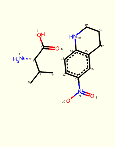 CC(C)[C@H](N)C(=O)O.O=[N+]([O-])c1ccc2c(c1)CCCN2